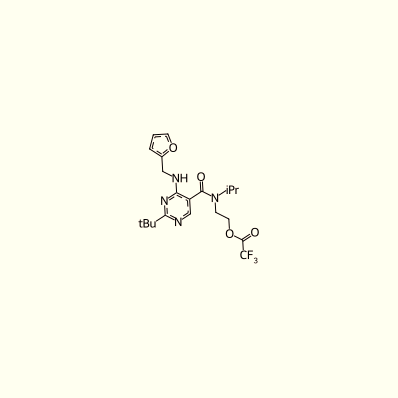 CC(C)N(CCOC(=O)C(F)(F)F)C(=O)c1cnc(C(C)(C)C)nc1NCc1ccco1